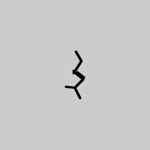 CCN=CC(C)C